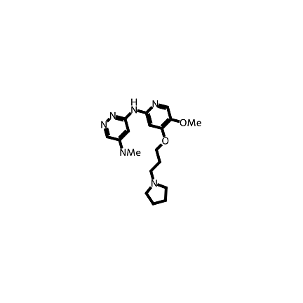 CNc1cnnc(Nc2cc(OCCCN3CCCC3)c(OC)cn2)c1